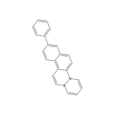 C1=CB2C=Cc3c(ccc4cc(-c5ccccc5)ccc34)N2C=C1